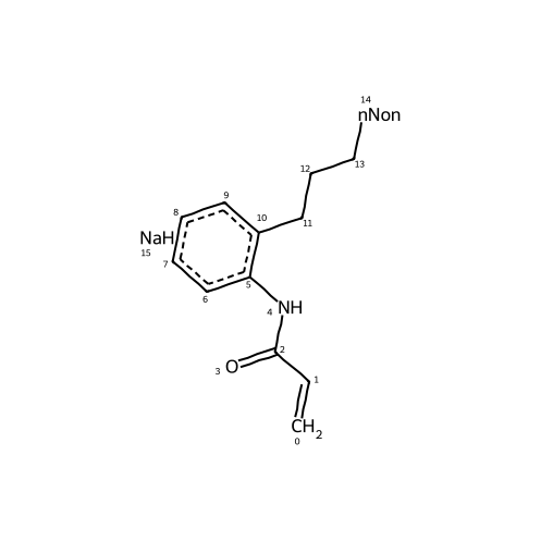 C=CC(=O)Nc1ccccc1CCCCCCCCCCCC.[NaH]